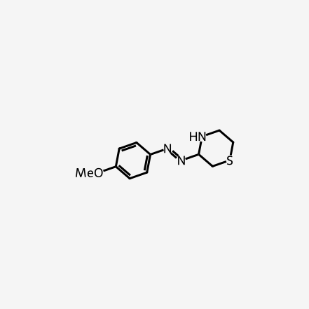 COc1ccc(N=NC2CSCCN2)cc1